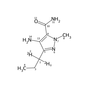 [2H]C([2H])(CC)c1nn(C)c(C(N)=O)c1N